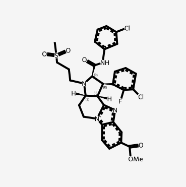 COC(=O)c1ccc2c(c1)nc1n2CC[C@H]2[C@@H]1[C@H](c1cccc(Cl)c1F)[C@H](C(=O)Nc1cccc(Cl)c1)N2CCCS(C)(=O)=O